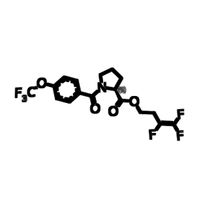 O=C(OCCC(F)=C(F)F)[C@@H]1CCCN1C(=O)c1ccc(OC(F)(F)F)cc1